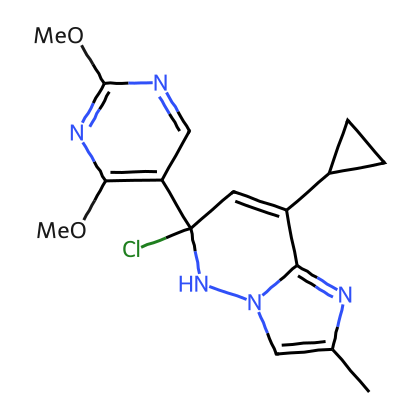 COc1ncc(C2(Cl)C=C(C3CC3)c3nc(C)cn3N2)c(OC)n1